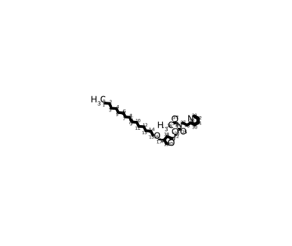 CCCCCCCCCCCCCCCCOC[C@@H]1CO[C@@H](COC(=O)N(CCc2ccccn2)C(C)=O)C1